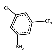 Bc1cc(Cl)cc(C(F)(F)F)c1